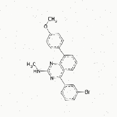 CNc1nc(-c2cccc(Br)c2)c2cccc(-c3ccc(OC)cc3)c2n1